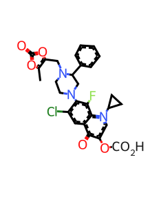 Cc1oc(=O)oc1CN1CCN(c2c(Cl)cc3c(=O)c(OC(=O)O)cn(C4CC4)c3c2F)CC1c1ccccc1